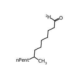 [2H]C(=O)CCCCCCC(C)CCCCC